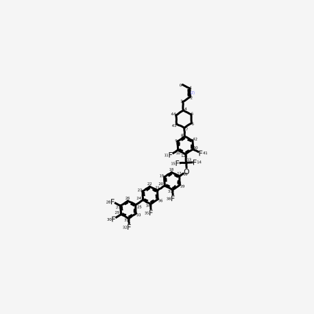 C/C=C\CC1CCC(c2cc(F)c(C(F)(F)Oc3ccc(-c4ccc(-c5cc(F)c(F)c(F)c5)c(F)c4)c(F)c3)c(F)c2)CC1